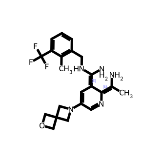 C/C(N)=c1\ncc(N2CC3(COC3)C2)c\c1=C(\N)NCc1cccc(C(F)(F)F)c1C